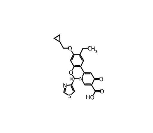 CCc1cc2c(cc1OCC1CC1)O[C@H](c1cscn1)n1cc(C(=O)O)c(=O)cc1-2